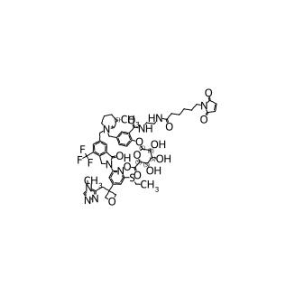 CCSc1cc(C2(Cc3nncn3C)COC2)cc(N2Cc3c(cc(C[N+]4(Cc5ccc(O[C@@H]6O[C@H](C(=O)O)[C@@H](O)[C@H](O)[C@H]6O)c(C(=O)NCCNC(=O)CCCCCN6C(=O)C=CC6=O)c5)CCC[C@H](C)C4)cc3C(F)(F)F)C2=O)n1